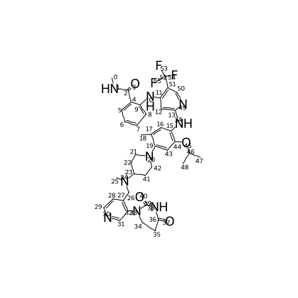 CNC(=O)c1ccccc1Nc1cc(Nc2cc(C)c(N3CCC(N(C)Cc4ccncc4N4CCC(=O)NC4=O)CC3)cc2OC(C)C)ncc1C(F)(F)F